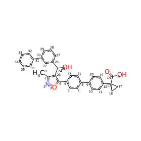 Cc1noc(-c2ccc(-c3ccc(C4(C(=O)O)CC4)cc3)cc2)c1C(O)c1cccc(-c2ccccc2)c1